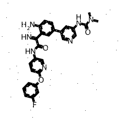 CN(C)C(=O)Nc1cncc(-c2ccc(N)c(C(=N)C(=O)Nc3ccc(Oc4cccc(F)c4)nc3)c2)c1